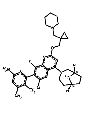 Cc1cc(N)nc(-c2c(Cl)cc3c(N4CC[C@H]5CC[C@@H](C4)N5)nc(OCC4(CN5CCCCC5)CC4)nc3c2F)c1C(F)(F)F